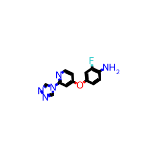 Nc1ccc(Oc2ccnc(-n3cnnc3)c2)cc1F